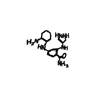 NC(=O)c1ccc(N[C@@H]2CCCC[C@@H]2N)cc1NC1=CNNC1